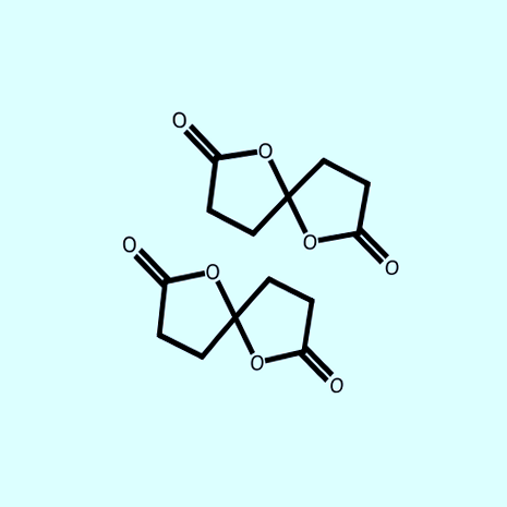 O=C1CCC2(CCC(=O)O2)O1.O=C1CCC2(CCC(=O)O2)O1